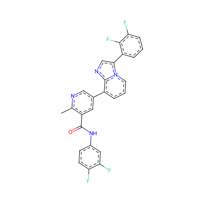 Cc1ncc(-c2cccn3c(-c4cccc(F)c4F)cnc23)cc1C(=O)Nc1ccc(F)c(F)c1